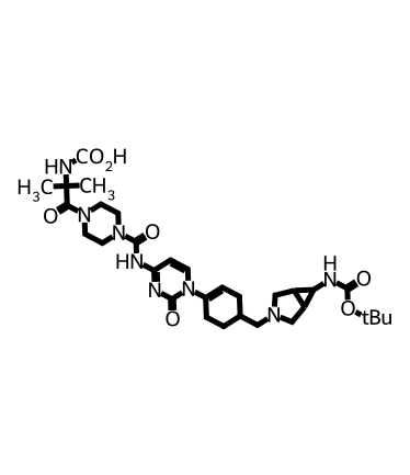 CC(C)(C)OC(=O)NC1C2CN(CC3CC=C(n4ccc(NC(=O)N5CCN(C(=O)C(C)(C)NC(=O)O)CC5)nc4=O)CC3)CC21